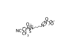 Cc1cc(C(=O)N2CCN(CCCCCN3C(=S)N(c4ccc(C#N)c(C(F)(F)F)c4)C(=O)C3(C)C)CC2)c(C)o1